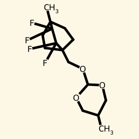 CC1COC(OCC23CCC(C)(CC2)C(F)(F)C3(F)F)OC1